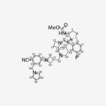 COC(=O)N[C@H]1CCC[C@@H]1[C@](CN1CCC1)(c1cccc(F)c1)C1CCN(CC2CN(c3ccc(C#N)c(Cn4cccc4)c3)C2)CC1